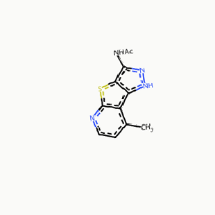 CC(=O)Nc1n[nH]c2c1sc1nccc(C)c12